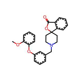 COc1ccccc1Oc1cccc(CN2CCC3(CC2)OC(=O)c2ccccc23)c1